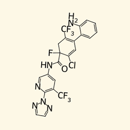 Nc1ccccc1C1=C(C(F)(F)F)CC(F)(C(=O)Nc2cnc(-n3nccn3)c(C(F)(F)F)c2)C(Cl)=C1